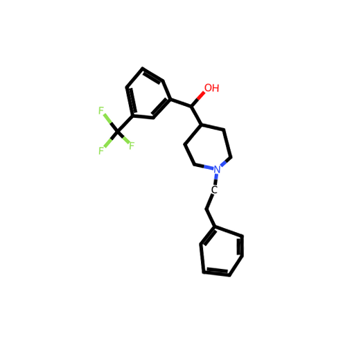 OC(c1cccc(C(F)(F)F)c1)C1CCN(CCc2ccccc2)CC1